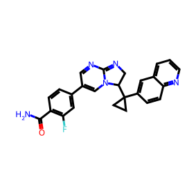 NC(=O)c1ccc(C2=CN3C(=NCC3C3(c4ccc5ncccc5c4)CC3)N=C2)cc1F